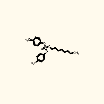 CCCCCCCCOP(=O)(Oc1ccc(C)cc1)Oc1ccc(C)cc1